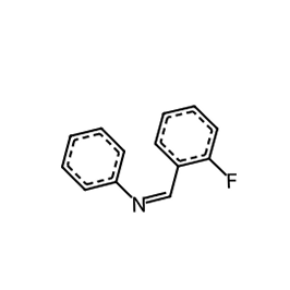 Fc1ccccc1/C=N\c1ccccc1